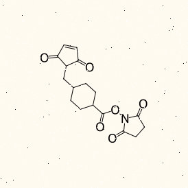 O=C(ON1C(=O)CCC1=O)C1CCC(CC2C(=O)C=CC2=O)CC1